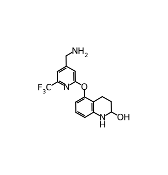 NCc1cc(Oc2cccc3c2CCC(O)N3)nc(C(F)(F)F)c1